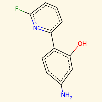 Nc1ccc(-c2cccc(F)n2)c(O)c1